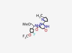 COCC(NC(=O)c1cc(=O)[nH]c(-c2cccc(C)n2)n1)c1ccc(OC(F)(F)F)c(F)c1